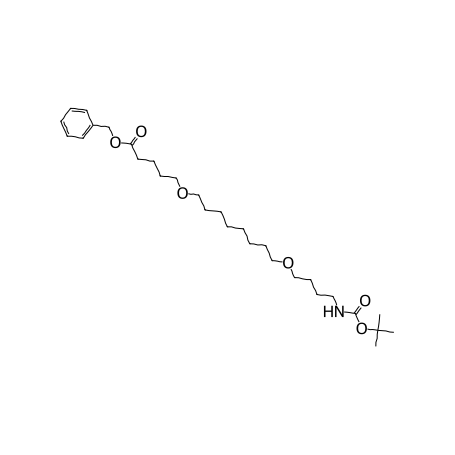 CC(C)(C)OC(=O)NCCCCOCCCCCCCCOCCCCC(=O)OCc1ccccc1